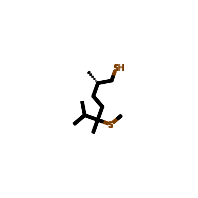 CSC(C)(CC[C@H](C)CS)C(C)C